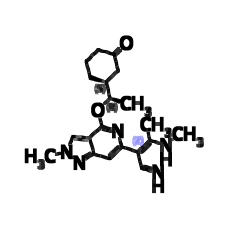 CN/C(C)=C(\C=N)c1cc2nn(C)cc2c(O[C@H](C)[C@H]2CCCC(=O)C2)n1